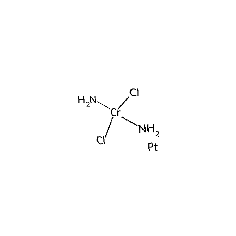 [NH2][Cr]([NH2])([Cl])[Cl].[Pt]